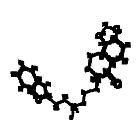 CN(CCCN1CCc2c(ccc3c2OCO3)C1=O)CCc1cc2ccccc2o1